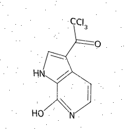 O=C(c1c[nH]c2c(O)nccc12)C(Cl)(Cl)Cl